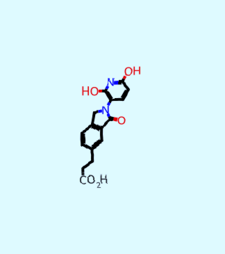 O=C(O)CCc1ccc2c(c1)C(=O)N(c1ccc(O)nc1O)C2